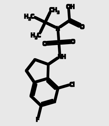 CC(C)(C)N(C(=O)O)S(=O)(=O)NC1CCc2cc(F)cc(Cl)c21